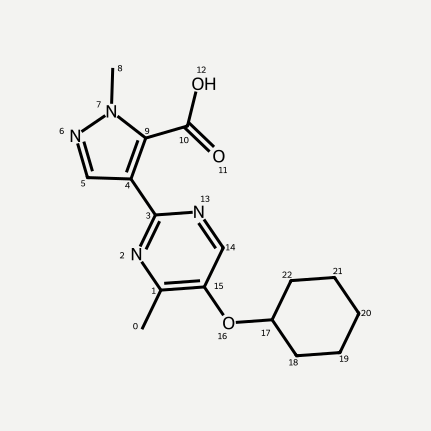 Cc1nc(-c2cnn(C)c2C(=O)O)ncc1OC1CCCCC1